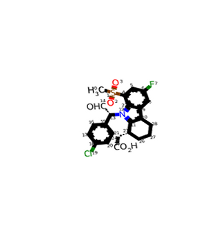 CS(=O)(=O)c1cc(F)cc2c3c(n([C@@H](C=O)c4ccc(Cl)cc4)c12)[C@@H](CC(=O)O)CCC3